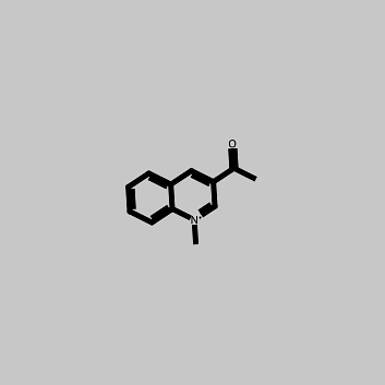 CC(=O)c1cc2ccccc2[n+](C)c1